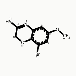 FC(F)(F)Oc1cc(Br)c2c(c1)N=C(S)CO2